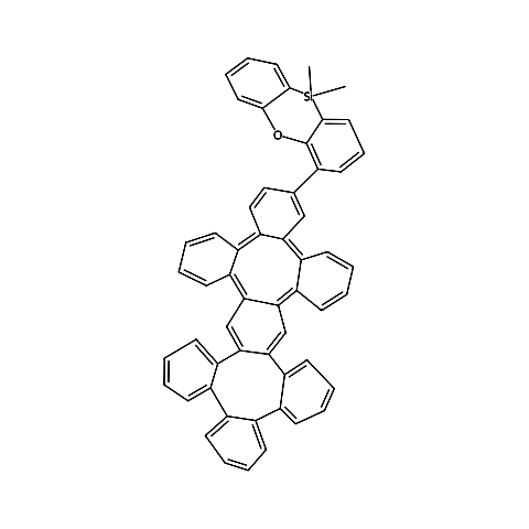 C[Si]1(C)c2ccccc2Oc2c(-c3ccc4c5ccccc5c5cc6c7ccccc7c7ccccc7c7ccccc7c6cc5c5ccccc5c4c3)cccc21